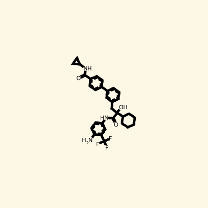 Nc1ccc(NC(=O)C(O)(Cc2cccc(-c3ccc(C(=O)NC4CC4)cc3)c2)C2CCCCC2)cc1C(F)(F)F